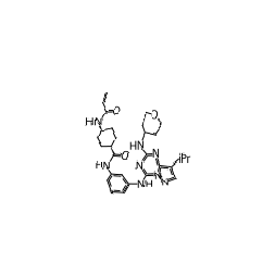 C=CC(=O)N[C@H]1CC[C@@H](C(=O)Nc2cccc(Nc3nc(NC4CCOCC4)nc4c(C(C)C)cnn34)c2)CC1